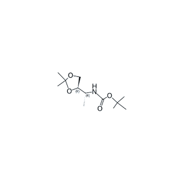 C[C@@H](NC(=O)OC(C)(C)C)[C@@H]1COC(C)(C)O1